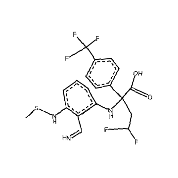 CSNc1cccc(NC(CC(F)F)(C(=O)O)c2ccc(C(F)(F)F)cc2)c1C=N